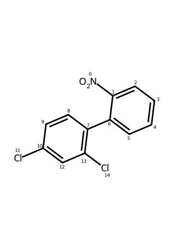 O=[N+]([O-])c1ccccc1-c1ccc(Cl)cc1Cl